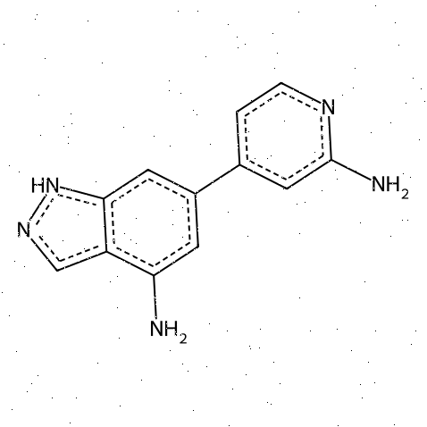 Nc1cc(-c2cc(N)c3cn[nH]c3c2)ccn1